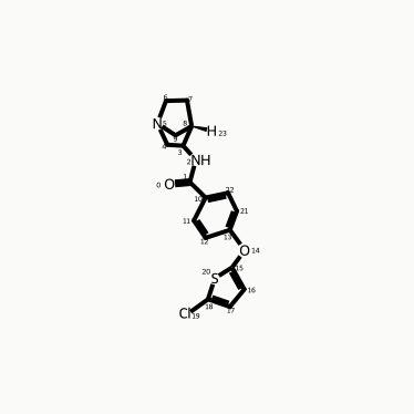 O=C(NC1CN2CC[C@H]1C2)c1ccc(Oc2ccc(Cl)s2)cc1